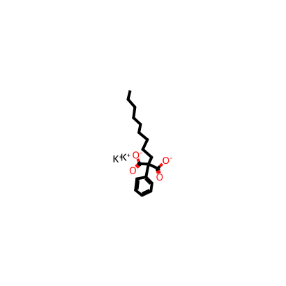 CCCCCCCCCC(C(=O)[O-])(C(=O)[O-])c1ccccc1.[K+].[K+]